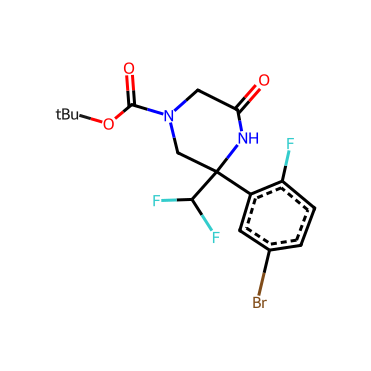 CC(C)(C)OC(=O)N1CC(=O)NC(c2cc(Br)ccc2F)(C(F)F)C1